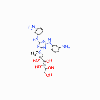 CN(C[C@H](O)[C@@H](O)[C@H](O)C(O)CO)c1nc(Nc2cccc(N)c2)nc(Nc2cccc(N)c2)n1